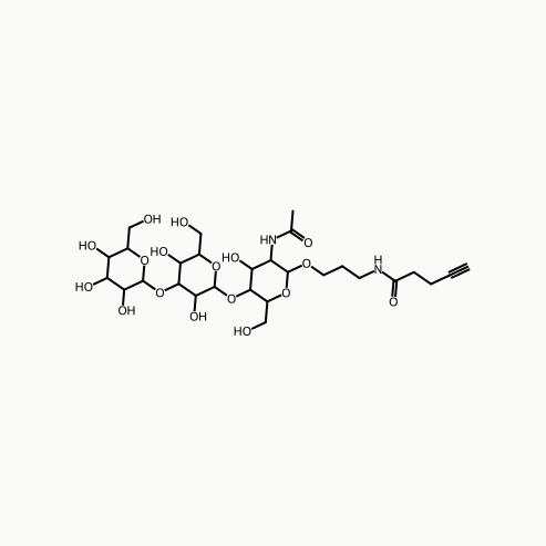 C#CCCC(=O)NCCCOC1OC(CO)C(OC2OC(CO)C(O)C(OC3OC(CO)C(O)C(O)C3O)C2O)C(O)C1NC(C)=O